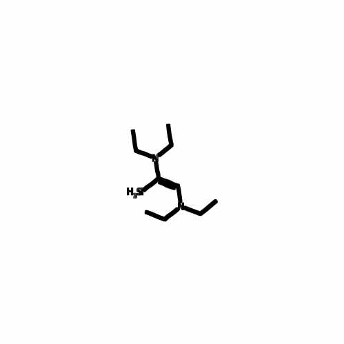 CCN(C=C([SiH3])N(CC)CC)CC